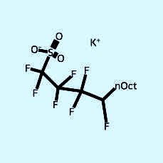 CCCCCCCCC(F)C(F)(F)C(F)(F)C(F)(F)S(=O)(=O)[O-].[K+]